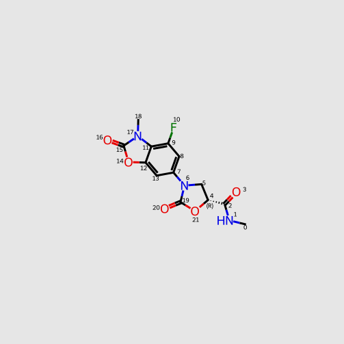 CNC(=O)[C@H]1CN(c2cc(F)c3c(c2)oc(=O)n3C)C(=O)O1